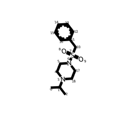 CC(C)N1CCN(S(=O)(=O)Cc2ccccc2)CC1